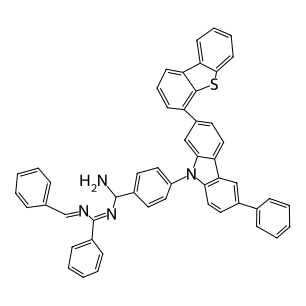 NC(/N=C(\N=C\c1ccccc1)c1ccccc1)c1ccc(-n2c3ccc(-c4ccccc4)cc3c3ccc(-c4cccc5c4sc4ccccc45)cc32)cc1